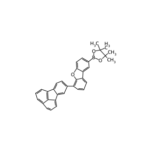 CC1(C)OB(c2ccc3oc4c(-c5ccc6c(c5)-c5cccc7cccc-6c57)cccc4c3c2)OC1(C)C